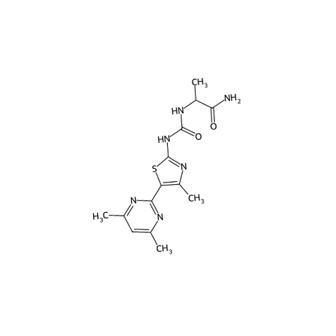 Cc1cc(C)nc(-c2sc(NC(=O)NC(C)C(N)=O)nc2C)n1